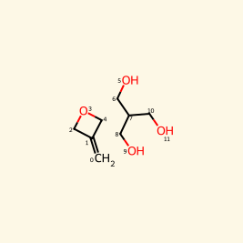 C=C1COC1.OCC(CO)CO